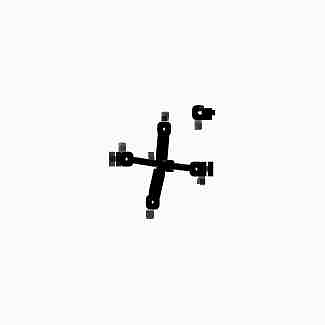 O=[Se](=O)(O)O.[Cu]